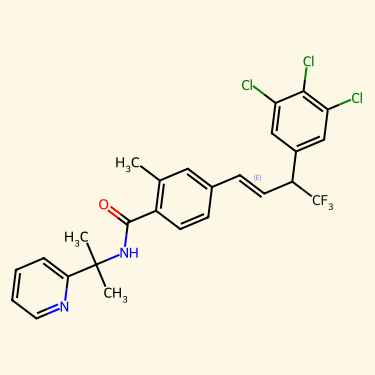 Cc1cc(/C=C/C(c2cc(Cl)c(Cl)c(Cl)c2)C(F)(F)F)ccc1C(=O)NC(C)(C)c1ccccn1